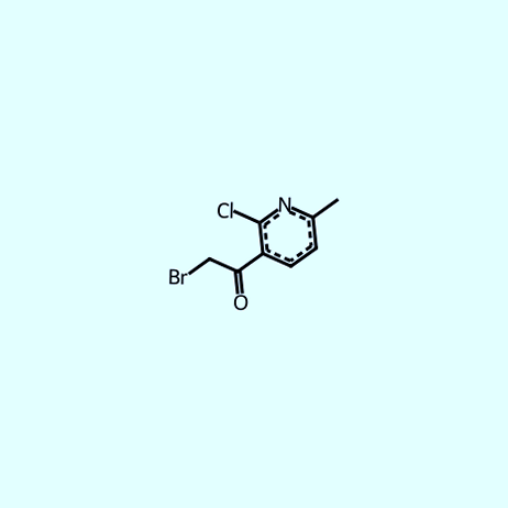 Cc1ccc(C(=O)CBr)c(Cl)n1